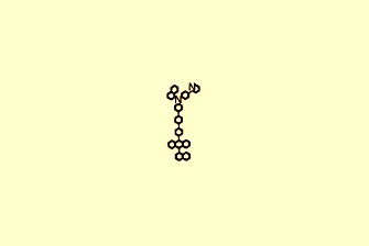 c1ccc(-c2ccc(N(c3ccc(-c4ccc(-c5ccc(-c6c7ccccc7c(-c7cccc8ccccc78)c7ccccc67)cc5)cc4)cc3)c3cccc4ccccc34)cc2)nc1